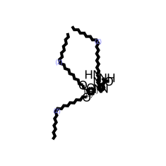 CCCCCCCC/C=C\CCCCCCCCNc1nc2c(ncn2[C@H]2C[C@H](OCCCCCCCC/C=C\CCCCCCCC)[C@@H](COCCCCCCCC/C=C\CCCCCCCC)O2)c(=O)[nH]1